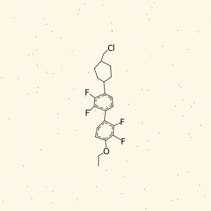 CCOc1ccc(-c2ccc(C3CCC(CCl)CC3)c(F)c2F)c(F)c1F